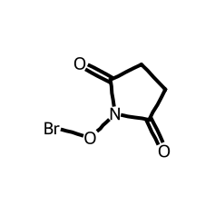 O=C1CCC(=O)N1OBr